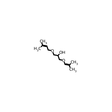 CC(C)=CCOCC(O)COC=C(C)C